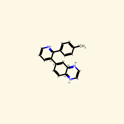 Cc1ccc(-c2ncccc2-c2ccc3nccnc3c2)cc1